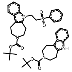 CC(C)(C)OC(=O)N1CCc2[nH]c3ccccc3c2CC1.CC(C)(C)OC(=O)N1CCc2c(n(CCS(=O)(=O)c3ccccc3)c3ccccc23)CC1